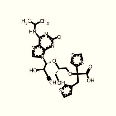 C#C[C@@H](O)[C@@H](O[C@@H](CO)COC(Cc1ccsc1)(C(=O)O)c1cscn1)n1cnc2c(NC(C)C)nc(Cl)nc21